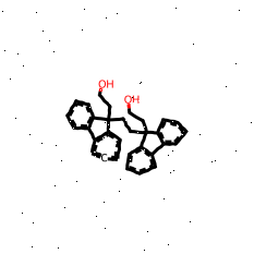 OCCC1(CCC2(CCO)c3ccccc3-c3ccccc32)c2ccccc2-c2ccccc21